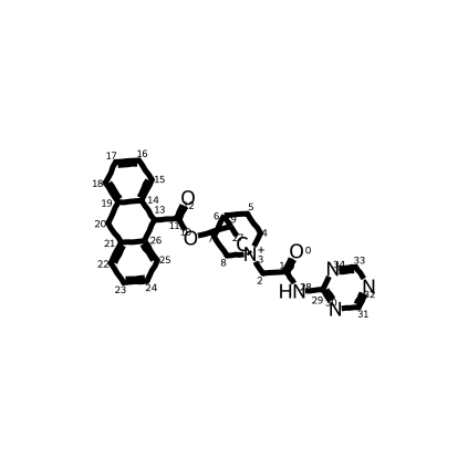 O=C(C[N+]12CCC(CC1)C(OC(=O)C1c3ccccc3Cc3ccccc31)C2)Nc1ncncn1